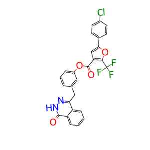 O=C(Oc1cccc(Cc2n[nH]c(=O)c3ccccc23)c1)c1cc(-c2ccc(Cl)cc2)oc1C(F)(F)F